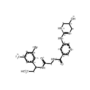 O=C(O)CC(NC(=O)CNC(=O)c1cncc(NC2=NCC(O)CN2)c1)c1cc(Br)cc(C(F)(F)F)c1